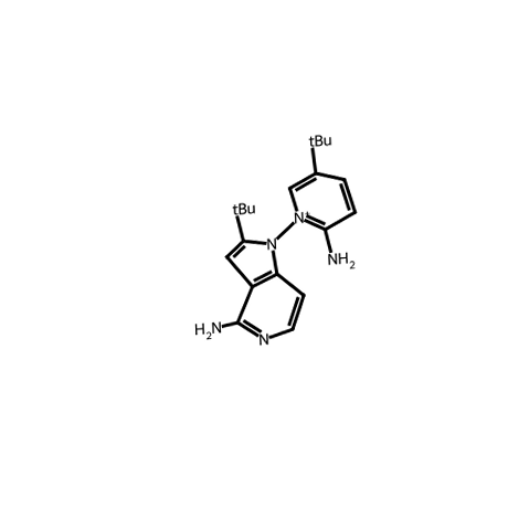 CC(C)(C)c1ccc(N)[n+](-n2c(C(C)(C)C)cc3c(N)nccc32)c1